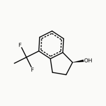 CC(F)(F)c1cccc2c1CC[C@@H]2O